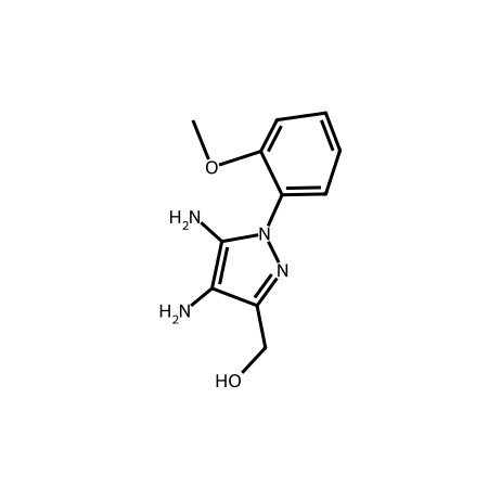 COc1ccccc1-n1nc(CO)c(N)c1N